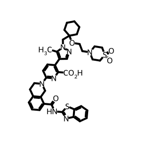 Cc1c(-c2ccc(N3CCc4cccc(C(=O)Nc5nc6ccccc6s5)c4C3)nc2C(=O)O)cnn1CC1(OCCN2CCS(=O)(=O)CC2)CCCCC1